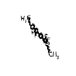 CCCCCCOc1ccc(-c2ccc(-c3ccc(C4CCC(CCCCC)CC4)c(F)c3F)cc2)c(F)c1F